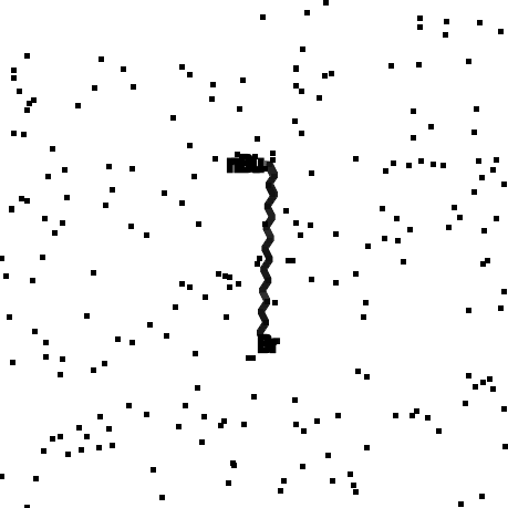 CCCC/C=C\C=C\CCCCCCCCCCCCCBr